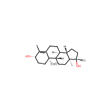 CC[C@]1(O)CC[C@H]2[C@@H]3CCC4=C(C)[C@@H](O)CC[C@]4(C=O)[C@H]3CC[C@@]21C